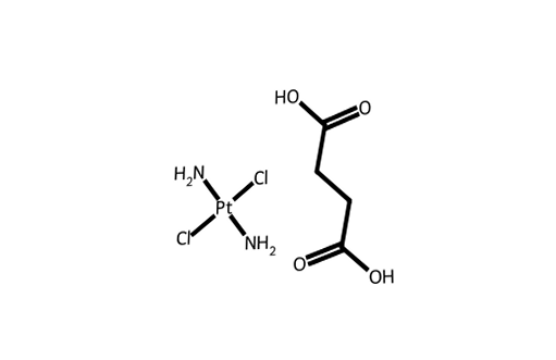 O=C(O)CCC(=O)O.[NH2][Pt]([NH2])([Cl])[Cl]